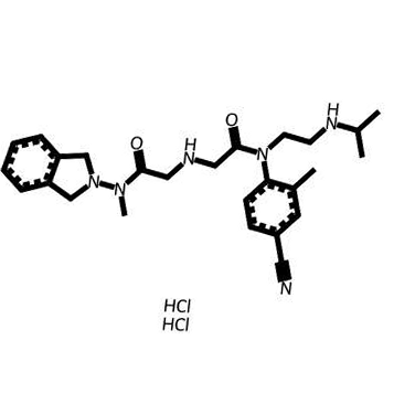 Cc1cc(C#N)ccc1N(CCNC(C)C)C(=O)CNCC(=O)N(C)N1Cc2ccccc2C1.Cl.Cl